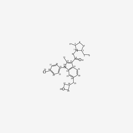 CCC1CCC(C)N1CC(=O)c1c(C)n(-c2ccc(Cl)cc2)c2cc(CC3COC3)ccc12